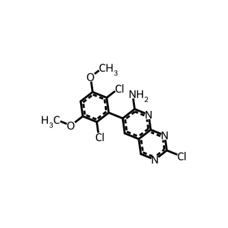 COc1cc(OC)c(Cl)c(-c2cc3cnc(Cl)nc3nc2N)c1Cl